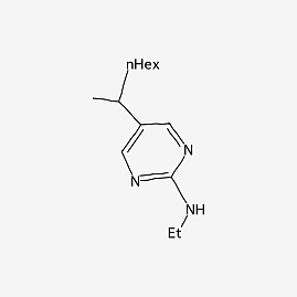 CCCCCCC(C)c1cnc(NCC)nc1